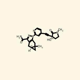 CN1CC[C@@](O)(C#Cc2ccnc(-n3nc(C(N)=O)c4c3CC3(C)C[C@H]3C4)c2)C1=O